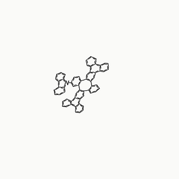 c1ccc2c(c1)-c1cc3c4ccccc4c4ccccc4c3cc1-c1ccc(-n3c4ccccc4c4ccccc43)cc1-c1cc3c4ccccc4c4ccccc4c3cc1-2